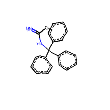 CC(=N)NC(c1ccccc1)(c1ccccc1)c1ccccc1